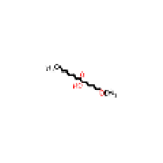 CCCCCCCC(=O)C(O)CCCCCOC